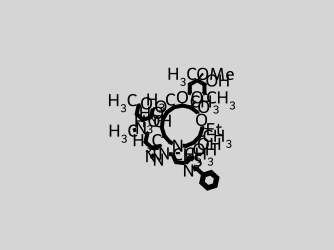 CC[C@H]1OC(=O)[C@H](C)[C@@H](O[C@H]2C[C@@](C)(OC)[C@@H](O)[C@H](C)O2)[C@H](C)[C@@H](O[C@@H]2O[C@H](C)C[C@H](N(C)CCc3cn(CCc4csc(-c5ccccc5)n4)nn3)[C@H]2O)[C@](C)(O)C[C@@H](C)CN(C)[C@H](C)[C@@H](O)[C@]1(C)O